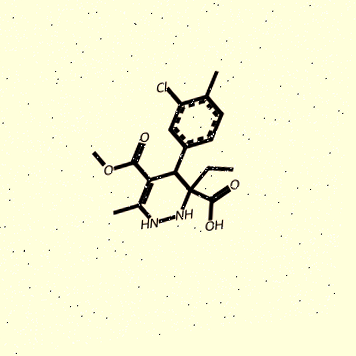 CCC1(C(=O)O)NNC(C)=C(C(=O)OC)C1c1ccc(C)c(Cl)c1